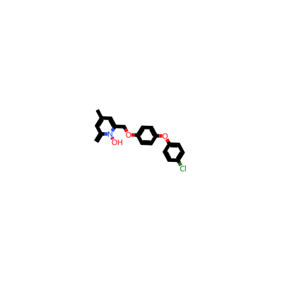 C=C1C=C(C)C=C(COc2ccc(Oc3ccc(Cl)cc3)cc2)N1O